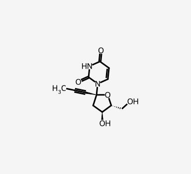 CC#C[C@]1(n2ccc(=O)[nH]c2=O)C[C@H](O)[C@@H](CO)O1